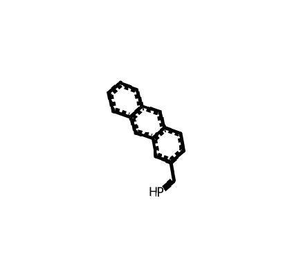 P=Cc1ccc2cc3ccccc3cc2c1